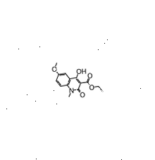 CCOC(=O)c1c(O)c2cc(OC)ccc2n(C)c1=O